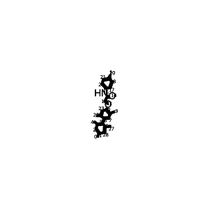 Cc1cc(C)c(-c2cc(C)c(OCC(=O)Nc3ccc(I)cc3)cc2C)c(C)c1